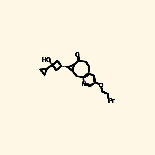 CC(C)CCOc1cnc2c(c1)CCC(=O)C1C(C2)C1[C@H]1C[C@](O)(C2CC2)C1